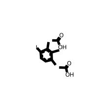 CC(=O)O.CC(=O)O.Cc1ccc(I)c(C)c1C